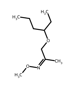 CCCC(CC)OC/C(C)=N\OC